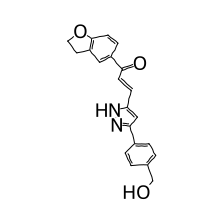 O=C(/C=C/c1cc(-c2ccc(CO)cc2)n[nH]1)c1ccc2c(c1)CCO2